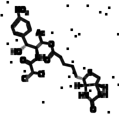 CC(=O)C(OC(=O)CCCC[C@@H]1SC[C@@H]2NC(=O)N[C@@H]21)[C@@H](NC(=O)C(Cl)Cl)[C@H](O)c1ccc([N+](=O)[O-])cc1